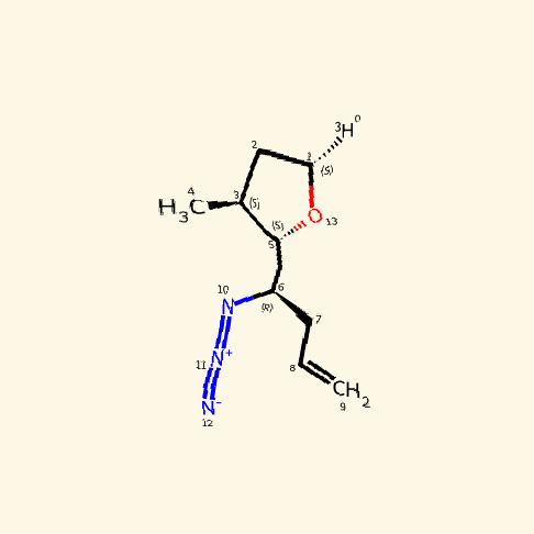 [3H][C@H]1C[C@H](C)[C@@H]([C@@H](CC=C)N=[N+]=[N-])O1